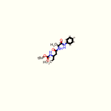 C[C@H](NC(=O)CC(CC(=O)O)NC(=O)OC(C)(C)C)C(=O)Nc1ccccc1